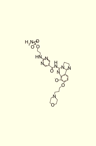 COc1c(OCCCN2CCOCC2)ccc2c1N=C(NC(=O)c1cnc(NCCOS(N)(=O)=O)nc1)N1CCN=C21